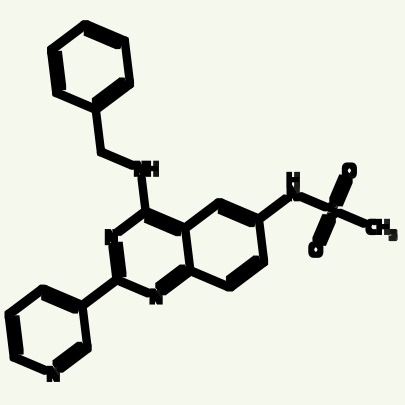 CS(=O)(=O)Nc1ccc2nc(-c3cccnc3)nc(NCc3ccccc3)c2c1